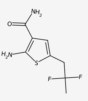 CC(F)(F)Cc1cc(C(N)=O)c(N)s1